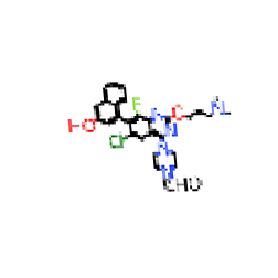 CN(C)CCCOc1nc(N2CCN(C=O)CC2)c2cc(Cl)c(-c3cc(O)cc4ccccc34)c(F)c2n1